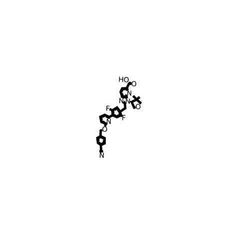 CC1(C)COC[C@H]1n1c(Cc2cc(F)c(-c3cccc(OCc4ccc(C#N)cc4)n3)cc2F)nc2ccc(C(=O)O)nc21